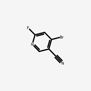 N#Cc1cnc(F)cc1Br